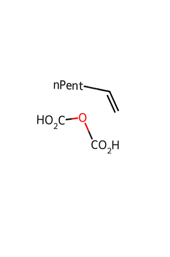 C=CCCCCC.O=C(O)OC(=O)O